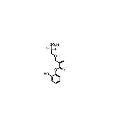 C=C(COCC(F)(F)S(=O)(=O)O)C(=O)Oc1ccccc1O